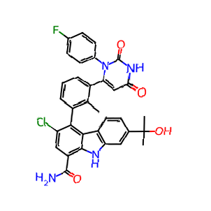 Cc1c(-c2c(Cl)cc(C(N)=O)c3[nH]c4cc(C(C)(C)O)ccc4c23)cccc1-c1cc(=O)[nH]c(=O)n1-c1ccc(F)cc1